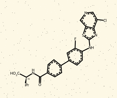 CC(C)[C@H](NC(=O)c1ccc(-c2ccc(Nc3nc4c(Cl)cncc4s3)c(F)c2)cc1)C(=O)O